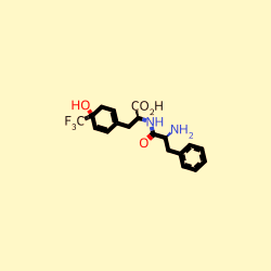 N[C@@H](Cc1ccccc1)C(=O)N[C@@H](CC1=CCC(O)(C(F)(F)F)C=C1)C(=O)O